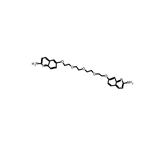 Nc1ccc2cc(OCCOCCOCCOCCOc3ccc4ccc(N)nc4c3)ccc2n1